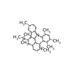 Cc1ccc2c(c1)c1c([Si](C)(C)C)cc3cc[n+](C)c4c5c(C)c(C)cc(C)c5n2c1c34